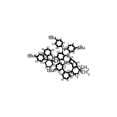 CC(C)(C)c1ccc(N2c3ccc(C(C)(C)C)cc3B3c4cc5c6cc4N(c4ccc(C(C)(C)C)cc4-c4ccccc4C6(C)CCC5(C)C)c4cc(N5c6ccccc6C6(c7ccc(C(C)(C)C)cc7)CCCCC56C)cc2c43)cc1